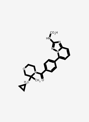 C1CC1.CC1(C)COCCN1C(=O)c1ccc(-c2cccc3nc(NC(=O)O)nn23)cc1